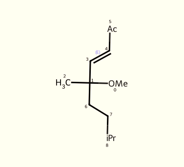 COC(C)(/C=C/C(C)=O)CCC(C)C